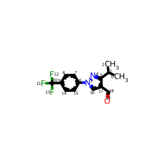 CC(C)c1nn(-c2ccc(C(F)(F)F)cc2)cc1C=O